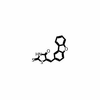 O=C1NC(=S)SC1=Cc1ccc2oc3ccccc3c2c1